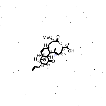 C=CC[C@H]1[C@@H]2O[C@@]34/C(C)=C/[C@@H](C)[C@@H]([C@@H](C)O)OC(=O)[C@@H](OC)C[C@H]3C=C[C@@H]2[C@H]4C(=O)[C@@H]1C